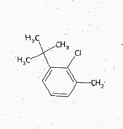 [CH2]c1cccc(C(C)(C)C)c1Cl